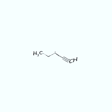 C#C[CH]CC